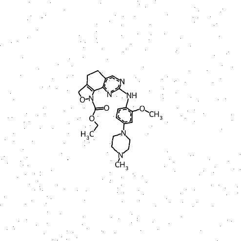 CCOC(=O)N1OCC2=C1c1nc(Nc3ccc(N4CCN(C)CC4)cc3OC)ncc1CC2